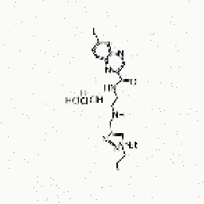 CC[N+]1(CCF)C=C(CNCCNC(=O)c2cnc3cc(I)ccc3n2)N=N1.Cl.Cl.Cl